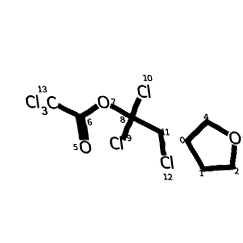 C1CCOC1.O=C(OC(Cl)(Cl)CCl)C(Cl)(Cl)Cl